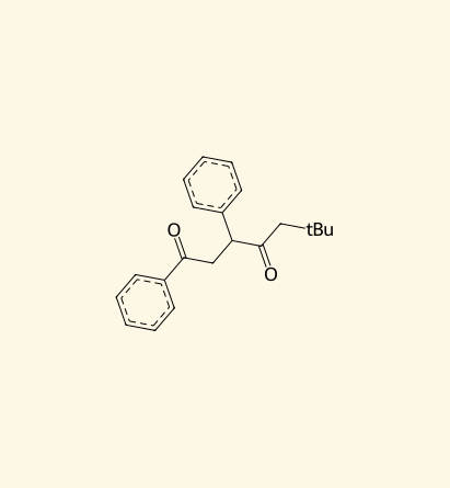 CC(C)(C)CC(=O)C(CC(=O)c1ccccc1)c1ccccc1